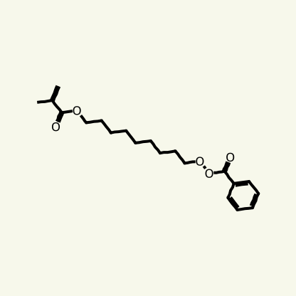 C=C(C)C(=O)OCCCCCCCCCOOC(=O)c1ccccc1